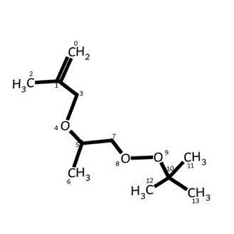 C=C(C)CO[C](C)COOC(C)(C)C